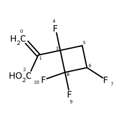 C=C(C(=O)O)C1(F)CC(F)C1(F)F